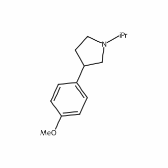 COc1ccc(C2CCN(C(C)C)C2)cc1